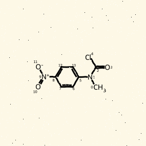 CN(C(=O)Cl)c1ccc([N+](=O)[O-])cc1